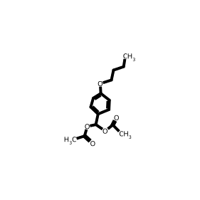 CCCCOc1ccc(C(OC(C)=O)OC(C)=O)cc1